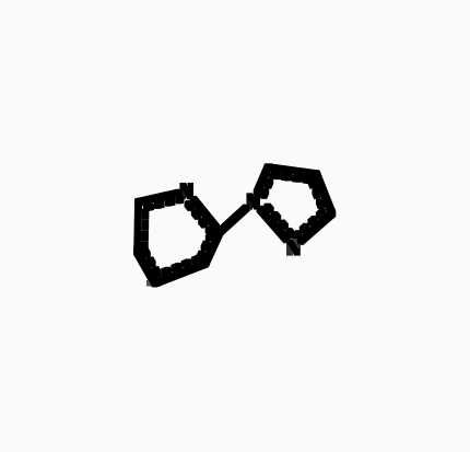 [c]1ccnc(-n2cccn2)c1